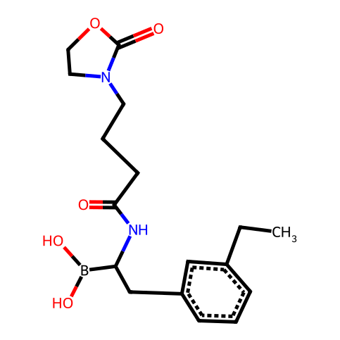 CCc1cccc(CC(NC(=O)CCCN2CCOC2=O)B(O)O)c1